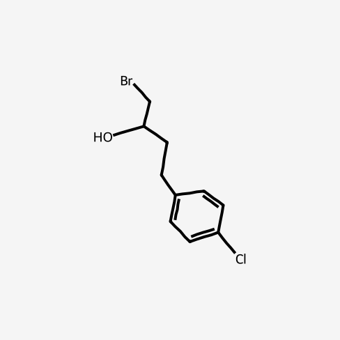 OC(CBr)CCc1ccc(Cl)cc1